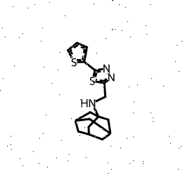 c1csc(-c2nnc(CNC34CC5CC(CC(C5)C3)C4)s2)c1